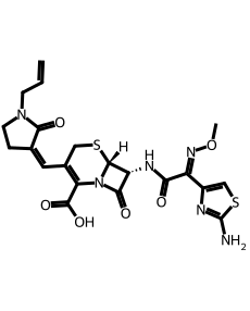 C=CCN1CCC(=CC2=C(C(=O)O)N3C(=O)[C@@H](NC(=O)C(=NOC)c4csc(N)n4)[C@H]3SC2)C1=O